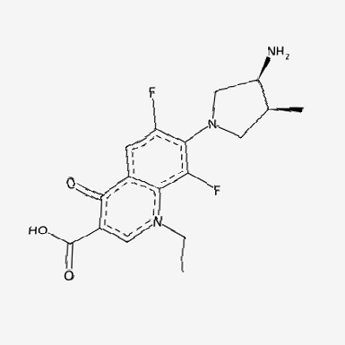 CCn1cc(C(=O)O)c(=O)c2cc(F)c(N3C[C@@H](N)[C@@H](C)C3)c(F)c21